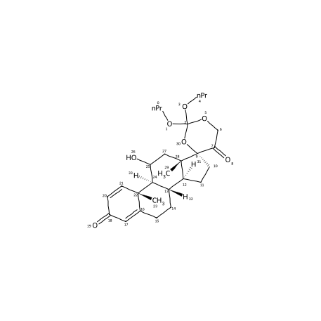 CCCOC1(OCCC)OCC(=O)[C@]2(CC[C@H]3[C@@H]4CCC5=CC(=O)C=C[C@]5(C)[C@H]4C(O)C[C@@]32C)O1